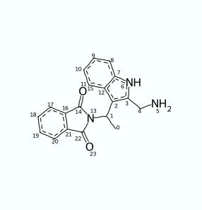 CC(c1c(CN)[nH]c2ccccc12)N1C(=O)c2ccccc2C1=O